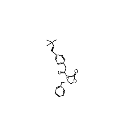 CC(C)(C)/C=C/c1ccc(CC(=O)N2C(=O)OC[C@H]2Cc2ccccc2)cc1